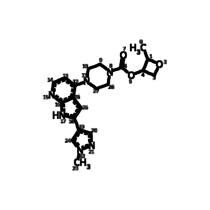 CC1OCC1OC(=O)N1CCN(c2ccnc3[nH]c(-c4cnn(C)c4)cc23)CC1